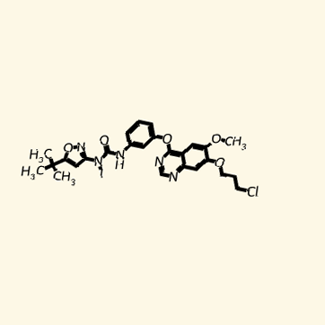 COc1cc2c(Oc3cccc(NC(=O)N(I)c4cc(C(C)(C)C)on4)c3)ncnc2cc1OCCCCl